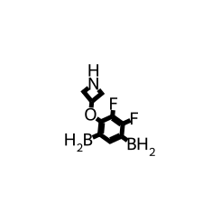 Bc1cc(B)c(OC2CNC2)c(F)c1F